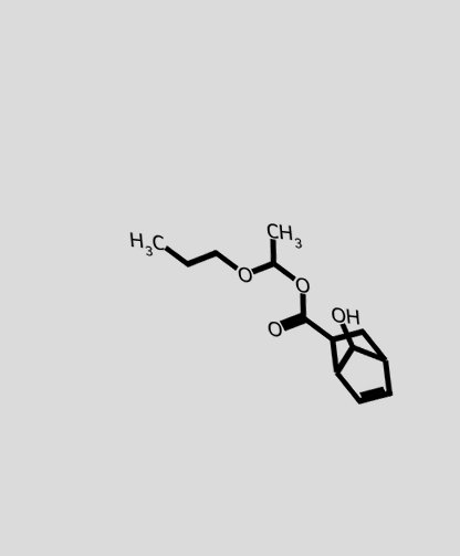 CCCOC(C)OC(=O)C1CC2C=CC1C2O